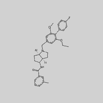 CCOc1cc(CN2CC[C@H]3C(NC(=O)c4cccc(C)c4)CC[C@H]32)cc(OC)c1-c1ccc(F)cc1